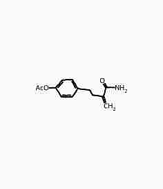 C=C(CCc1ccc(OC(C)=O)cc1)C(N)=O